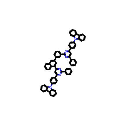 c1ccc(-c2cc(-c3ccc(-n4c5ccccc5c5ccccc54)cc3)nc(-c3cccc(-c4cc(-c5cc(-c6ccc(-n7c8ccccc8c8ccccc87)cc6)nc(-c6ccccc6)n5)c5ccccc5c4)c3)n2)cc1